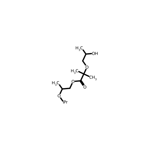 CC(O)COC(C)(C)C(=O)OCC(C)OC(C)C